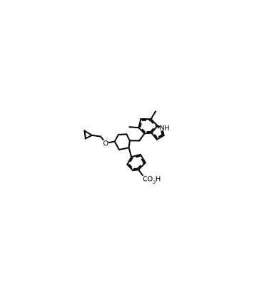 Cc1cc(C)c2[nH]ccc2c1CC1CCC(OCC2CC2)CC1c1ccc(C(=O)O)cc1